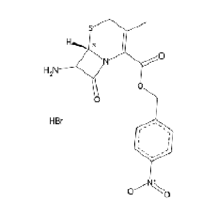 Br.CC1=C(C(=O)OCc2ccc([N+](=O)[O-])cc2)N2C(=O)C(N)[C@@H]2SC1